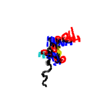 CC/C=C\C/C=C\C/C=C\C/C=C\C/C=C\C/C=C\CCC(=O)NC(CSSC(C)(C)C(NC(=O)C1(c2ccc3c(c2)OC(F)(F)O3)CC1)C(=O)NC(CO)CO)C(N)=O